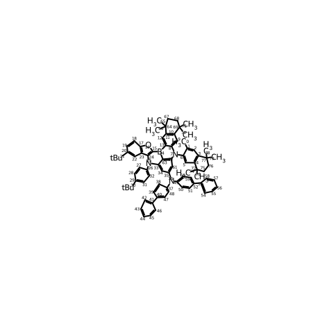 Cc1cc2c(cc1N1c3cc4c(cc3B3c5oc6ccc(C(C)(C)C)cc6c5N(c5ccc(C(C)(C)C)cc5)c5cc(N(c6ccc(-c7ccccc7)cc6)c6ccc(-c7ccccc7)cc6)cc1c53)C(C)(C)CCC4(C)C)C(C)(C)CCC2(C)C